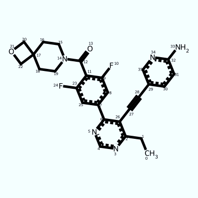 CCc1ncnc(-c2cc(F)c(C(=O)N3CCC4(CC3)COC4)c(F)c2)c1C#Cc1ccc(N)nc1